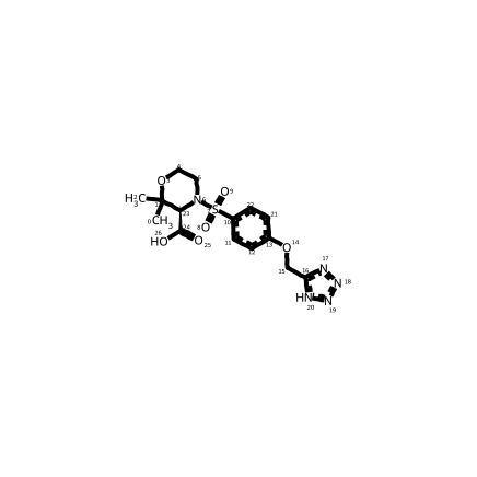 CC1(C)OCCN(S(=O)(=O)c2ccc(OCc3nnn[nH]3)cc2)[C@H]1C(=O)O